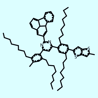 CCCCCCCCc1cc(-c2cc(-c3cc(CCCCCCCC)c(-c4cc5sc(C)cc5s4)cc3CCCCCCCC)nc(C3=CC4c5ccccc5C5=CC=CC(=C3)C54)n2)c(CCCCCCCC)cc1C